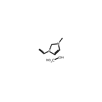 C=CN1C=CN(C)C1.O=C(O)O